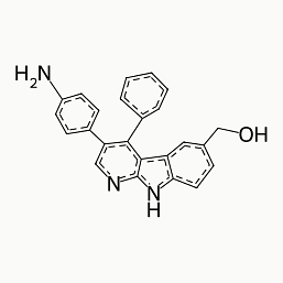 Nc1ccc(-c2cnc3[nH]c4ccc(CO)cc4c3c2-c2ccccc2)cc1